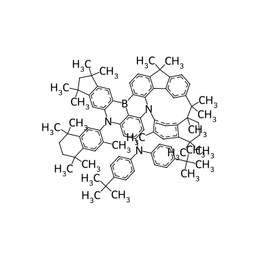 Cc1cc2c(cc1N1c3cc4c(cc3B3c5ccc6c7c5N(c5cc8c(cc5C)C(C)(C)CCC8(C)C(C)(C)c5ccc(c-7c5)C6(C)C)c5cc(N(c6ccc(C(C)(C)C)cc6)c6ccc(C(C)(C)C)cc6)cc1c53)C(C)(C)CC4(C)C)C(C)(C)CCC2(C)C